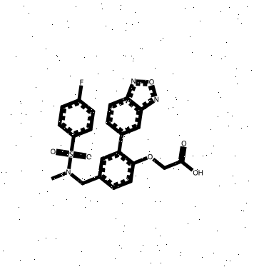 CN(Cc1ccc(OCC(=O)O)c(-c2ccc3nonc3c2)c1)S(=O)(=O)c1ccc(F)cc1